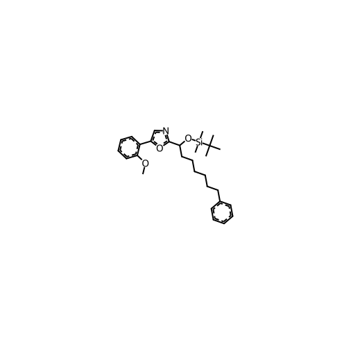 COc1ccccc1-c1cnc(C(CCCCCCc2ccccc2)O[Si](C)(C)C(C)(C)C)o1